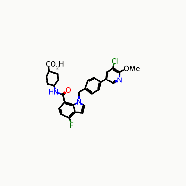 COc1ncc(-c2ccc(Cn3ccc4c(F)ccc(C(=O)NC5CCC(C(=O)O)CC5)c43)cc2)cc1Cl